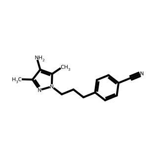 Cc1nn(CCCc2ccc(C#N)cc2)c(C)c1N